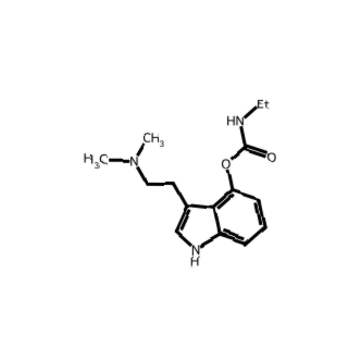 CCNC(=O)Oc1cccc2[nH]cc(CCN(C)C)c12